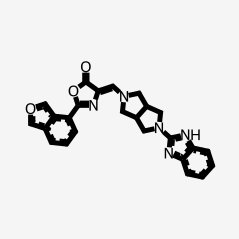 O=C1OC(c2cccc3cocc23)=NC1=CN1CC2CN(c3nc4ccccc4[nH]3)CC2C1